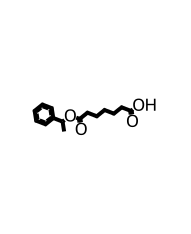 CC(OC(=O)CCCCCC(=O)O)c1ccccc1